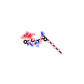 CCCOCCOCCOCCOCc1ccc(C(=O)OCc2cn([C@H]3CC(OC(=O)c4ccccc4C(C)N=[N+]=[N-])[C@@H](COP(=O)(O)OP(=O)(O)OP(=O)(O)O)O3)c(=O)[nH]c2=O)c([C@@H](C)N=[N+]=[N-])c1